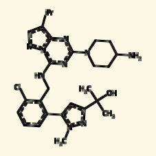 CC(C)c1cnn2c(NCc3c(Cl)cccc3-c3cc(C(C)(C)O)nn3C)nc(N3CCC(N)CC3)nc12